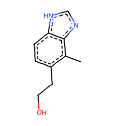 Cc1c(CCO)ccc2[nH][c]nc12